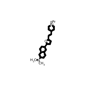 CCC[n+]1ccc(/C=C/c2ccc(-c3ccc4cc(N(C)C)ccc4c3)o2)cc1